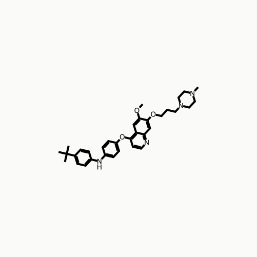 COc1cc2c(Oc3ccc(Nc4ccc(C(C)(C)C)cc4)cc3)ccnc2cc1OCCCN1CCN(C)CC1